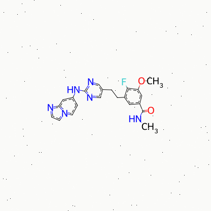 CNC(=O)c1cc(CCc2cnc(Nc3ccn4ccnc4c3)nc2)c(F)c(OC)c1